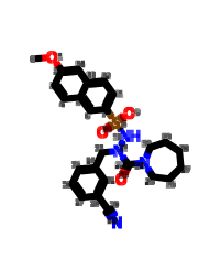 COc1ccc2cc(S(=O)(=O)NN(Cc3cccc(C#N)c3)C(=O)N3CCCCCC3)ccc2c1